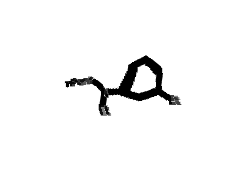 CCCCCN(CC)c1cccc(CC)c1